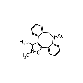 CC(=O)N1Cc2ccccc2C2=C(ON(C)C2C)c2ccccc21